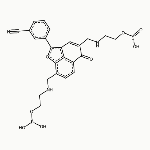 N#Cc1cccc(-c2oc3c(CNCCOP(O)O)ccc4c3c2C=C(CNCCO[PH](=O)O)C4=O)c1